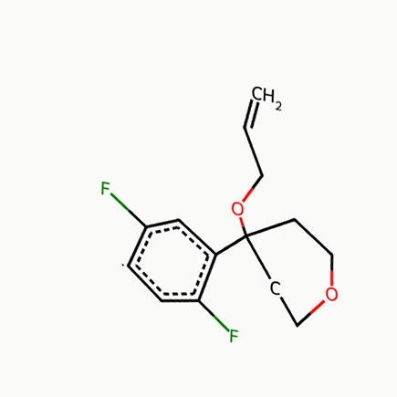 C=CCOC1(c2cc(F)[c]cc2F)CCOCC1